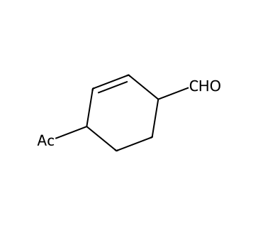 CC(=O)C1C=CC(C=O)CC1